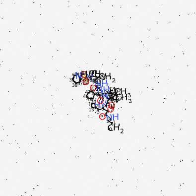 C=CCNC(=O)C(=O)C(CC1CCC1)NC(=O)[C@@H]1[C@@H]2[C@H](CN1C(=O)[C@@H](NC(=O)N[C@H](CN(C)S(=O)(=O)c1ccccn1)C(=C)C)C1CCCCC1)C2(C)C